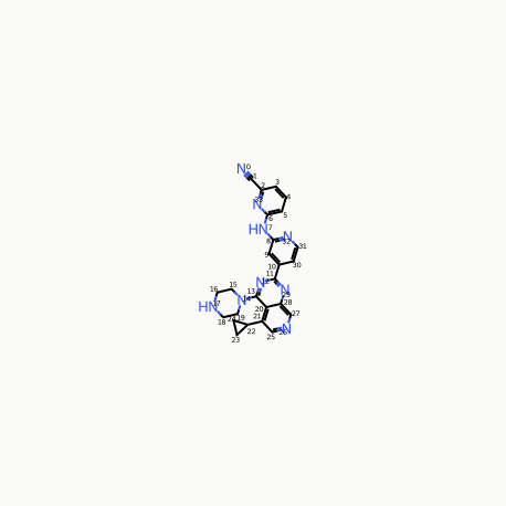 N#Cc1cccc(Nc2cc(-c3nc(N4CCNCC4)c4c(C5CC5)cncc4n3)ccn2)n1